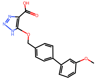 COc1cccc(-c2ccc(COc3[nH]nnc3C(=O)O)cc2)c1